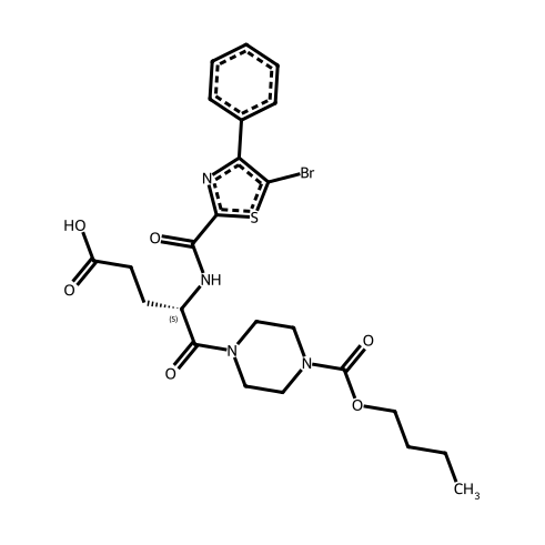 CCCCOC(=O)N1CCN(C(=O)[C@H](CCC(=O)O)NC(=O)c2nc(-c3ccccc3)c(Br)s2)CC1